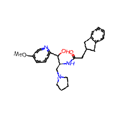 COc1ccc(C(O)C(CN2CCCC2)NC(=O)CC2Cc3ccccc3C2)nc1